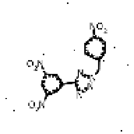 O=[N+]([O-])c1ccc(Cn2nnc(-c3cc([N+](=O)[O-])cc([N+](=O)[O-])c3)n2)cc1